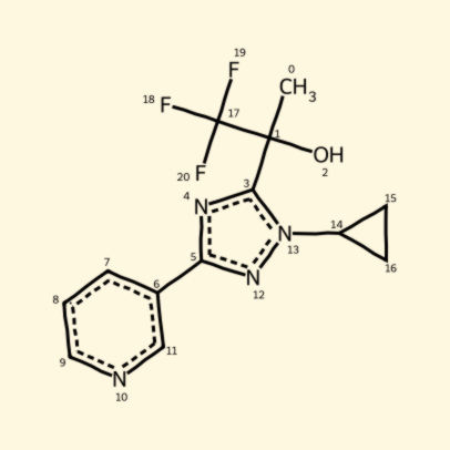 CC(O)(c1nc(-c2c[c]cnc2)nn1C1CC1)C(F)(F)F